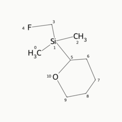 C[Si](C)(CF)C1CCCCO1